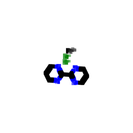 [Br-].[Br-].[Pt+2].c1cnc(-c2ncccn2)nc1